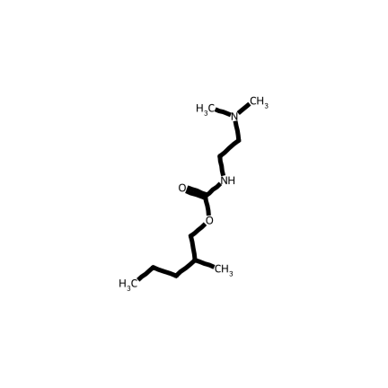 CCCC(C)COC(=O)NCCN(C)C